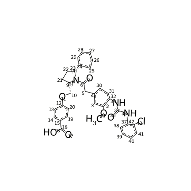 COc1cc(CC(=O)N2[C@H](COc3ccc(C(=O)O)cc3)CC[C@@H]2c2ccccc2)ccc1NC(=O)Nc1ccccc1Cl